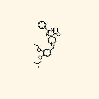 CCOc1cc(CN2CCC3(CC2)N=C(c2ccccc2)NC3=O)ccc1OCC(C)C